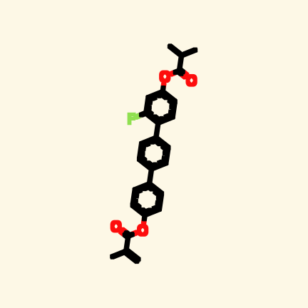 C=C(C)C(=O)Oc1ccc(-c2ccc(-c3ccc(OC(=O)C(C)C)cc3F)cc2)cc1